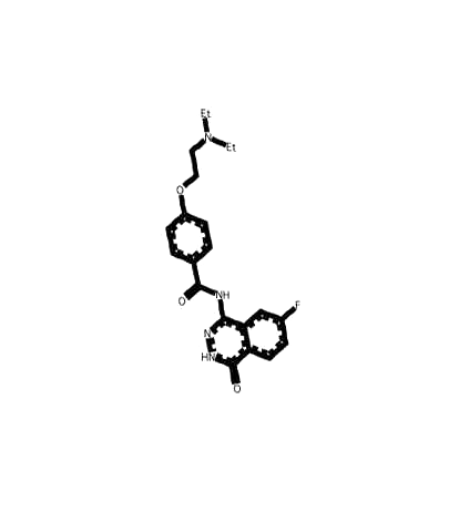 CCN(CC)CCOc1ccc(C(=O)Nc2n[nH]c(=O)c3ccc(F)cc23)cc1